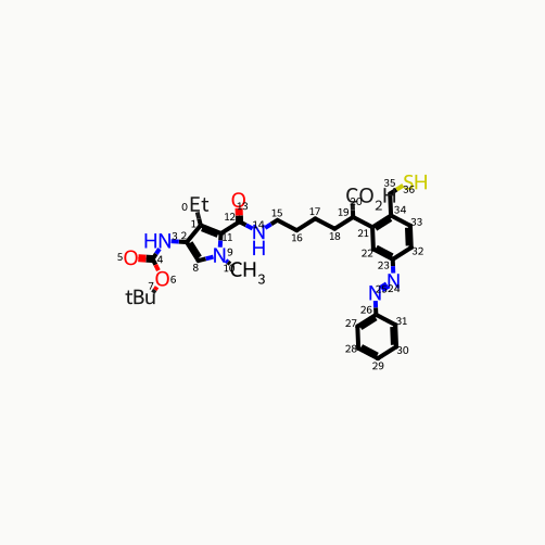 CCc1c(NC(=O)OC(C)(C)C)cn(C)c1C(=O)NCCCCC(C(=O)O)c1cc(N=Nc2ccccc2)ccc1CS